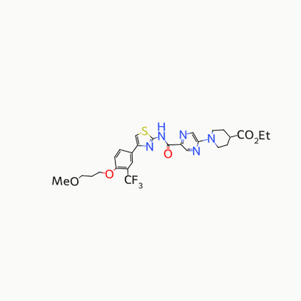 CCOC(=O)C1CCN(c2cnc(C(=O)Nc3nc(-c4ccc(OCCCOC)c(C(F)(F)F)c4)cs3)cn2)CC1